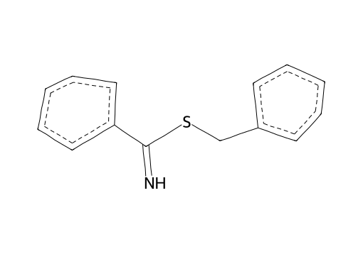 N=C(SCc1ccccc1)c1ccccc1